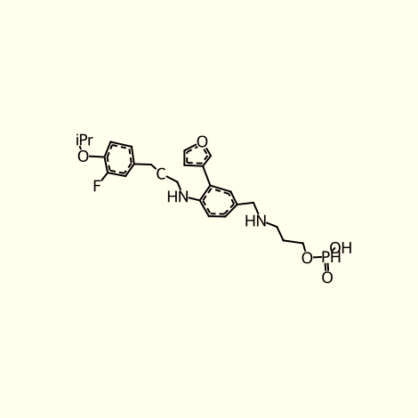 CC(C)Oc1ccc(CCCNc2ccc(CNCCCO[PH](=O)O)cc2-c2ccoc2)cc1F